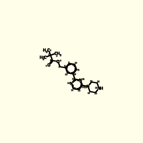 CC(C)(C)C(=O)OCc1cccc(-c2nccc(N3CCNCC3)n2)c1